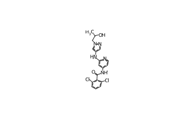 CC(O)Cn1cc(Nc2cc(NC(=O)c3c(Cl)cccc3Cl)ccn2)cn1